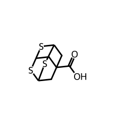 O=C(O)C12CC3SC(C1)SC(C2)S3